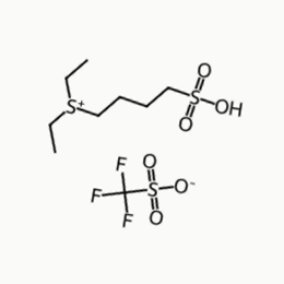 CC[S+](CC)CCCCS(=O)(=O)O.O=S(=O)([O-])C(F)(F)F